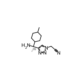 CC1CCC([C@](C)(N)c2cn(CC#N)nn2)CC1